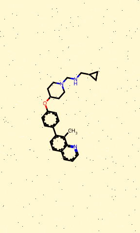 Cc1c(-c2ccc(OC3CCN(CNCC4CC4)CC3)cc2)ccc2cccnc12